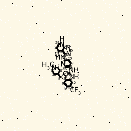 CN1CCC(COc2ccc(C(F)(F)F)cc2NC(=O)Nc2ccc(Nc3ncnc4[nH]ccc(=O)c34)nc2)CC1